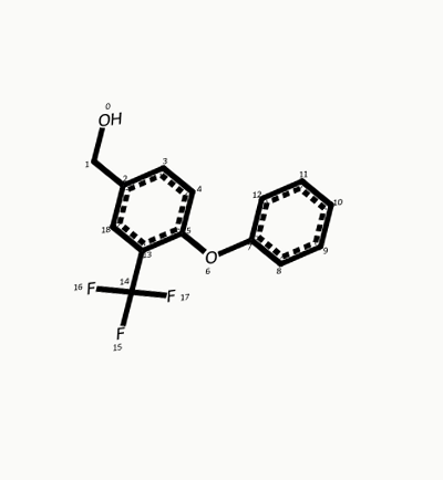 OCc1ccc(Oc2ccccc2)c(C(F)(F)F)c1